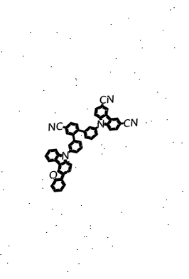 N#Cc1ccc(-c2cccc(-n3c4ccc(C#N)cc4c4cc(C#N)ccc43)c2)c(-c2cccc(-n3c4ccccc4c4c5oc6ccccc6c5ccc43)c2)c1